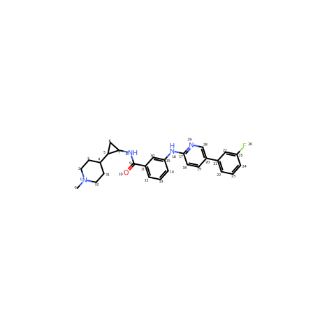 CN1CCC(C2CC2NC(=O)c2cccc(Nc3ccc(-c4cccc(F)c4)cn3)c2)CC1